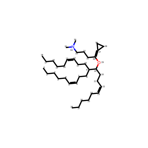 CCCCC/C=C\CCC(CC/C=C\CCCCC)C(CC/C=C\CCCCC)OC(CCCN(C)C)=C1CC1